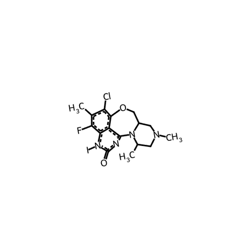 Cc1c(Cl)c2c3c(nc(=O)n(I)c3c1F)N1C(C)CN(C)CC1CO2